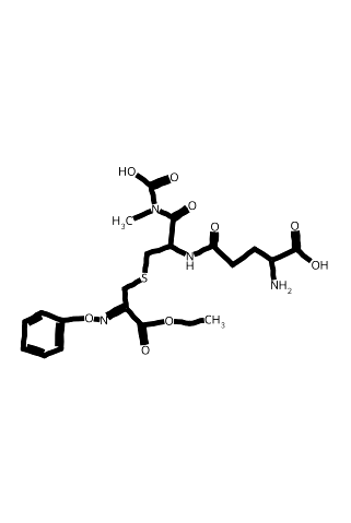 CCOC(=O)C(CSCC(NC(=O)CCC(N)C(=O)O)C(=O)N(C)C(=O)O)=NOc1ccccc1